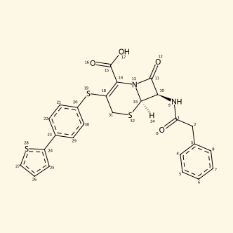 O=C(Cc1ccccc1)N[C@@H]1C(=O)N2C(C(=O)O)=C(Sc3ccc(-c4cccs4)cc3)CS[C@H]12